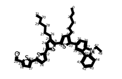 CCCCCCc1cc(-c2sc(-c3ccc(-c4ccc(C=O)s4)s3)cc2CCCCCC)sc1-c1ccc2c(c1)c1ccccc1n2CC